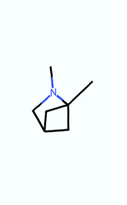 CN1CC2CC1(C)C2